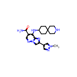 Cn1cc(-c2cn3ncc(C(N)=O)c(NC4CCC5(CCNCC5)CC4)c3n2)cn1